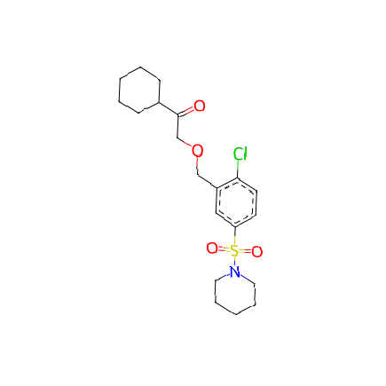 O=C(COCc1cc(S(=O)(=O)N2CCCCC2)ccc1Cl)C1CCCCC1